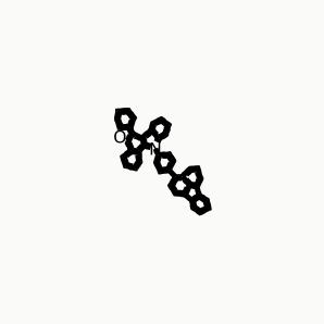 c1ccc2c(c1)-c1cccc3c(-c4ccc(-n5c6ccccc6c6c7c8ccccc8oc7c7ccccc7c65)cc4)ccc-2c13